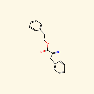 N=C(Cc1ccccc1)C(=O)OCCc1ccccc1